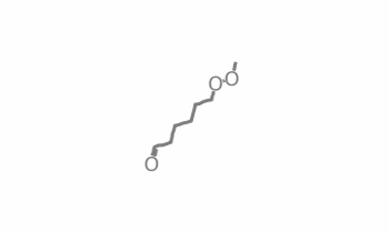 COOCCCCCC=O